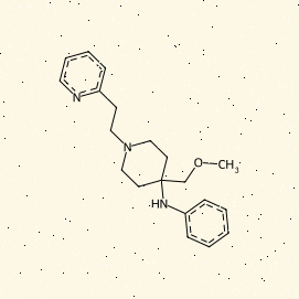 COCC1(Nc2ccccc2)CCN(CCc2ccccn2)CC1